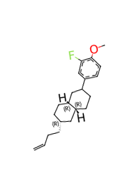 C=CCC[C@@H]1CC[C@@H]2CC(c3ccc(OC)c(F)c3)CC[C@@H]2C1